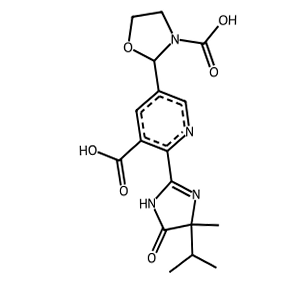 CC(C)C1(C)N=C(c2ncc(C3OCCN3C(=O)O)cc2C(=O)O)NC1=O